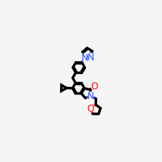 O=C1c2cc(Cc3ccc(-n4cccn4)cc3)c(C3CC3)cc2CN1CC1CCCO1